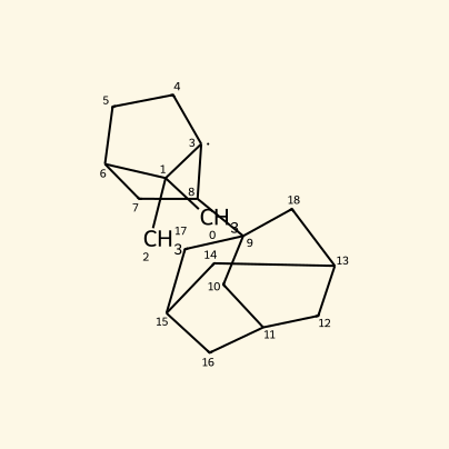 CC1(C)[C]2CCC1CC2C12CC3CC(CC(C3)C1)C2